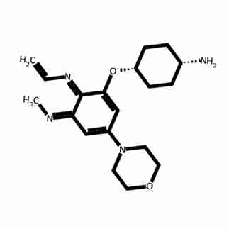 C=C/N=C1/C(O[C@H]2CC[C@@H](N)CC2)=CC(N2CCOCC2)=C/C1=N/C